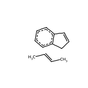 C1=Cc2ccccc2C1.CC=CC